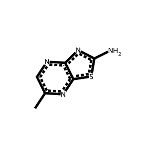 Cc1cnc2nc(N)sc2n1